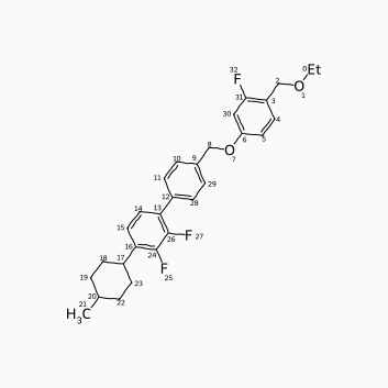 CCOCc1ccc(OCc2ccc(-c3ccc(C4CCC(C)CC4)c(F)c3F)cc2)cc1F